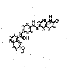 COc1ccc2nccc([C@@H](O)CN3CCC(NCc4cnc5c(c4)CCC(=O)N5)CC3)c2n1